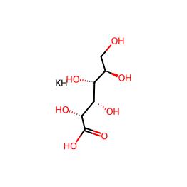 O=C(O)[C@H](O)[C@@H](O)[C@H](O)[C@H](O)CO.[KH]